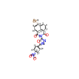 O=C1c2cccc3c(Br)ccc(c23)C(=O)N1c1nnc(-c2ccc([N+](=O)[O-])cc2)o1